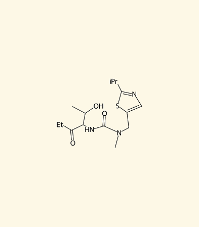 CCC(=O)C(NC(=O)N(C)Cc1cnc(C(C)C)s1)C(C)O